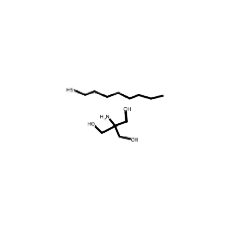 CCCCCCC[CH2][SnH].NC(CO)(CO)CO